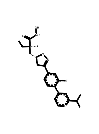 CC[C@](C)(C[C@H]1CC(c2ccc(-c3ccnc(C(C)C)c3)c(F)c2)=NO1)C(=O)NO